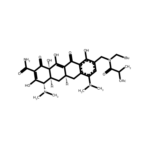 CC(=O)OC(C)C(=O)N(Cc1cc(N(C)C)c2c(c1O)C(=O)C1=C(O)[C@]3(O)C(=O)C(C(N)=O)=C(O)[C@@H](N(C)C)[C@@H]3C[C@@H]1C2)CC(C)(C)C